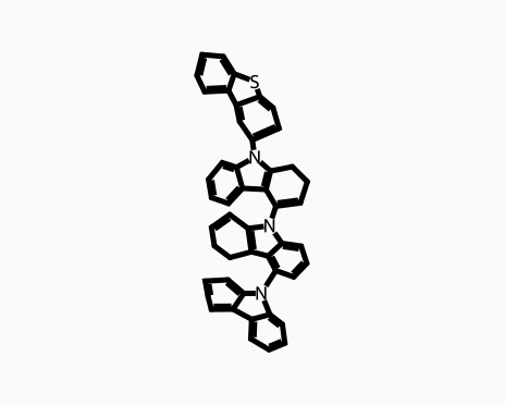 C1=Cc2c(c3c(-n4c5ccccc5c5ccccc54)cccc3n2C2=CCCc3c2c2ccccc2n3-c2ccc3sc4ccccc4c3c2)CC1